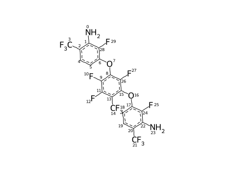 Nc1c(C(F)(F)F)ccc(Oc2c(F)c(F)c(C(F)(F)F)c(Oc3ccc(C(F)(F)F)c(N)c3F)c2F)c1F